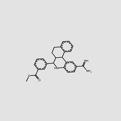 COC(=O)c1cccc(C2Nc3ccc(C(=N)N)cc3C3c4ccccc4CCC23)c1